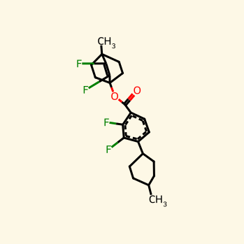 CC1CCC(c2ccc(C(=O)OC34CCC(C)(CC3)C(F)=C4F)c(F)c2F)CC1